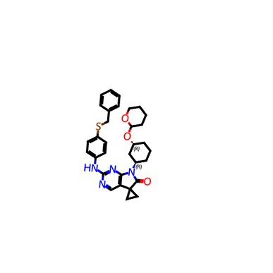 O=C1N([C@@H]2CCC[C@@H](OC3CCCCO3)C2)c2nc(Nc3ccc(SCc4ccccc4)cc3)ncc2C12CC2